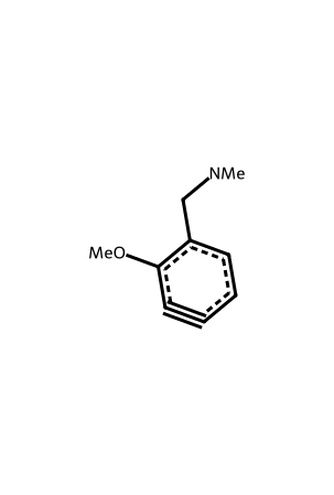 CNCc1ccc#cc1OC